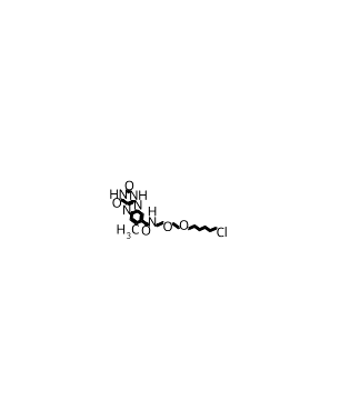 Cc1cc2nc3c(=O)[nH]c(=O)[nH]c3nc2cc1C(=O)NCCOCCOCCCCCCCl